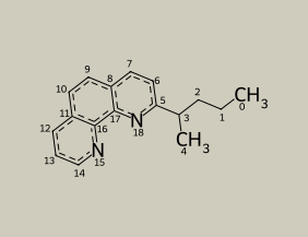 CCCC(C)c1ccc2ccc3cccnc3c2n1